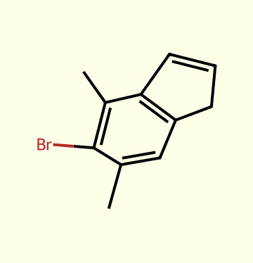 Cc1cc2c(c(C)c1Br)C=CC2